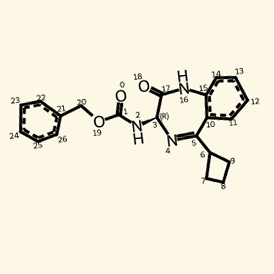 O=C(N[C@@H]1N=C(C2CCC2)c2ccccc2NC1=O)OCc1ccccc1